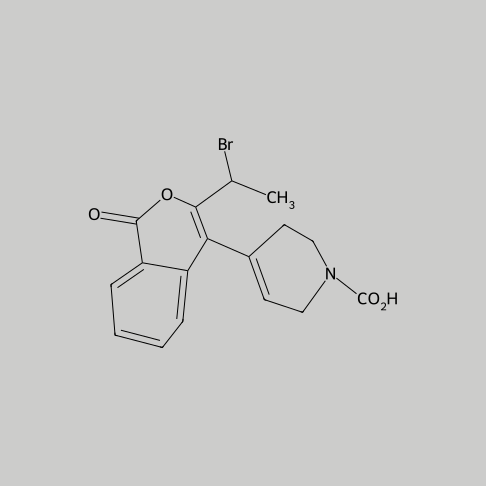 CC(Br)c1oc(=O)c2ccccc2c1C1=CCN(C(=O)O)CC1